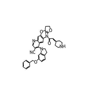 N#Cc1cnc2cc(OC3CCOC3)c(NC(=O)C=C3CCNCC3)cc2c1N1CCc2ccc(OCc3ccccc3)cc21